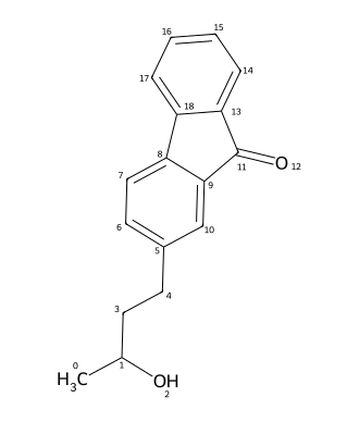 CC(O)CCc1ccc2c(c1)C(=O)c1ccccc1-2